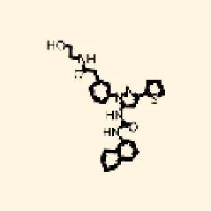 O=C(Cc1cccc(-n2nc(-c3cccs3)cc2NC(=O)Nc2cccc3ccccc23)c1)NCCO